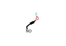 O=NCC#COF